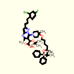 Cc1nc2cc(C=CCc3ccc(F)cc3Br)nn2c(N2CCC(C)(OCCCC[C@@H](C)O[Si](c3ccccc3)(c3ccccc3)C(C)(C)C)CC2)c1C(OC(C)(C)C)C(=O)O